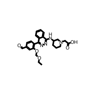 CCOCOc1cc(C=O)ccc1-c1nnc(NC2CCCN(CC(=O)O)C2)c2ccccc12